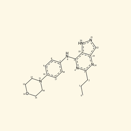 CCCc1nc(Nc2ccc(N3CCOCC3)cc2)c2[nH]ncc2n1